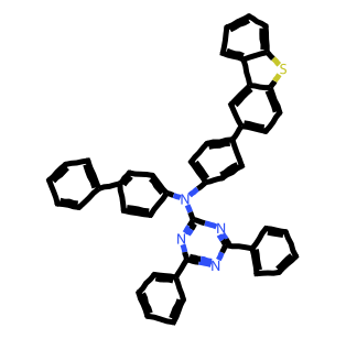 c1ccc(-c2ccc(N(c3ccc(-c4ccc5sc6ccccc6c5c4)cc3)c3nc(-c4ccccc4)nc(-c4ccccc4)n3)cc2)cc1